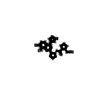 O=C(C[C@@H]1CCCN1c1cc(-c2cn[nH]c2)c2ccc(Cl)c(Cl)c2n1)N1CCC[C@H]1CO